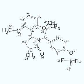 CCC(c1ccc(OC(F)(F)F)cc1)N1C(=O)C(C)CC1c1c(OC)cccc1OC